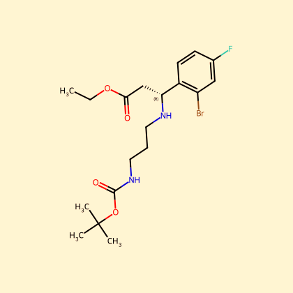 CCOC(=O)C[C@@H](NCCCNC(=O)OC(C)(C)C)c1ccc(F)cc1Br